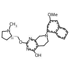 COc1cc(N2CCc3c(O)nc(OC[C@@H]4CCCN4C)nc3C2)c2ccccc2c1